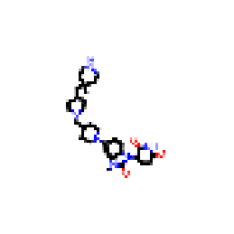 Cn1c(=O)n(C2CCC(=O)NC2=O)c2ccc(N3CCC(CN4CCC(CC5(C)CCNCC5)CC4)CC3)cc21